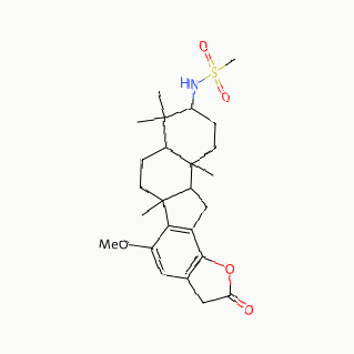 COc1cc2c(c3c1C1(C)CCC4C(C)(C)C(NS(C)(=O)=O)CCC4(C)C1C3)OC(=O)C2